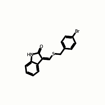 O=C1Nc2ccccc2C1=CSCc1ccc(Br)cc1